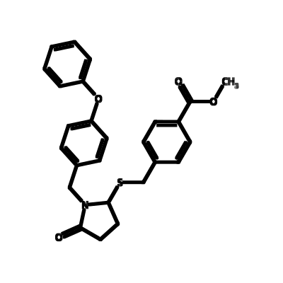 COC(=O)c1ccc(CSC2CCC(=O)N2Cc2ccc(Oc3ccccc3)cc2)cc1